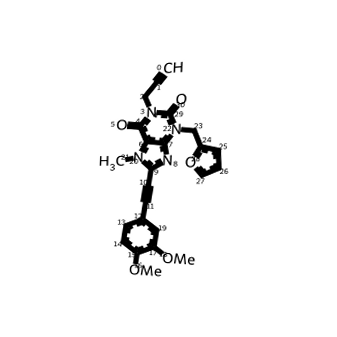 C#CCn1c(=O)c2c(nc(C#Cc3ccc(OC)c(OC)c3)n2C)n(Cc2ccco2)c1=O